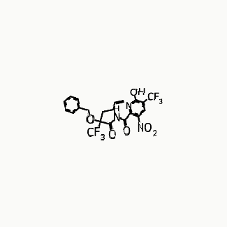 C=CCC[C@@](OCc1ccccc1)(C(=O)NC(=O)c1nc(O)c(C(F)(F)F)cc1[N+](=O)[O-])C(F)(F)F